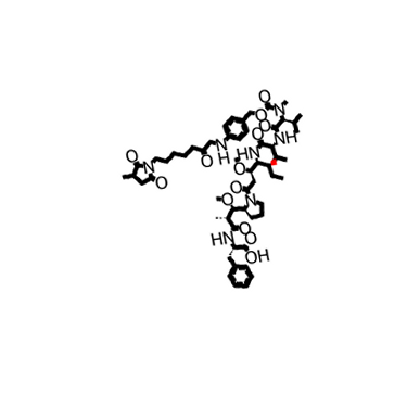 CC[C@H](C)[C@H](NC(=O)[C@@H](NC(=O)[C@H](C(C)C)N(C)C(=O)OCc1ccc(NCC(=O)CCCCCN2C(=O)CC(C)C2=O)cc1)C(C)C)[C@@H](CC(=O)N1CCC[C@H]1[C@H](OC)[C@@H](C)C(=O)N[C@@H](Cc1ccccc1)C(=O)O)OC